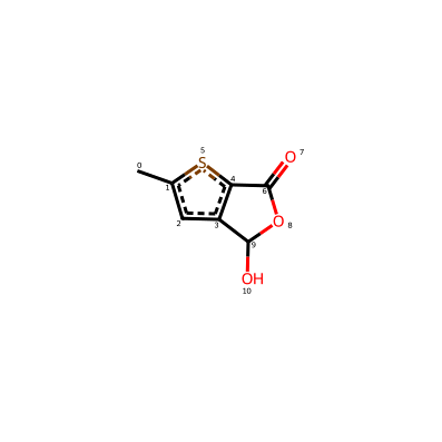 Cc1cc2c(s1)C(=O)OC2O